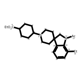 CCOC(=O)C1CCC(N2CCC3(CC2)CN(C(C)=O)c2c(CC)cccc23)CC1